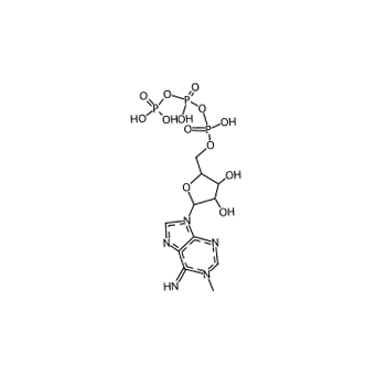 Cn1cnc2c(ncn2C2OC(COP(=O)(O)OP(=O)(O)OP(=O)(O)O)C(O)C2O)c1=N